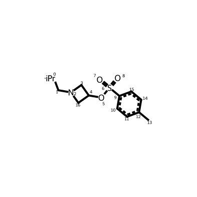 C[C](C)CN1CC(OS(=O)(=O)c2ccc(C)cc2)C1